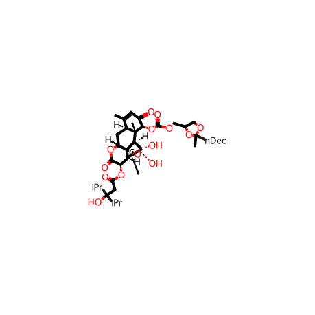 CCCCCCCCCCC1(C)OCC(COC(=O)O[C@@H]2C(=O)C=C(C)[C@@H]3C[C@H]4OC(=O)[C@H](OC(=O)CC(O)(C(C)C)C(C)C)[C@H]5[C@@H](C)[C@@H](O)[C@]6(O)OCC54[C@H]6[C@@]23C)O1